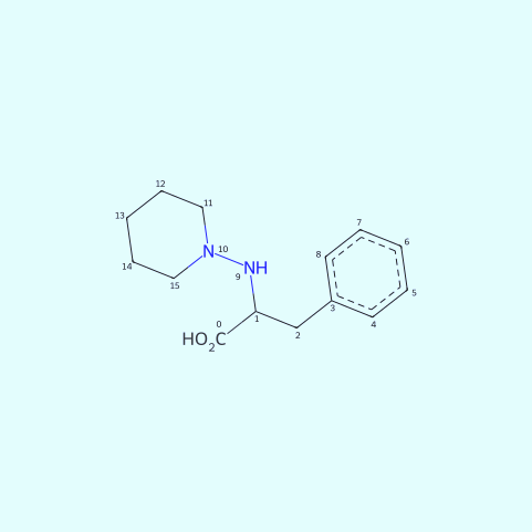 O=C(O)C(Cc1ccccc1)NN1CCCCC1